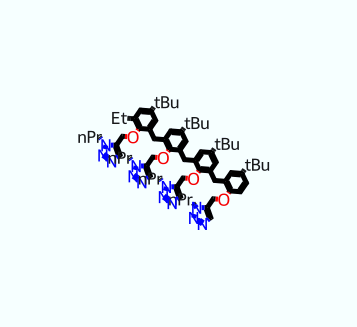 CCCn1nncc1COc1ccc(C(C)(C)C)cc1Cc1cc(C(C)(C)C)cc(Cc2cc(C(C)(C)C)cc(Cc3cc(C(C)(C)C)cc(CC)c3OCc3cnnn3CCC)c2OCc2cnnn2CCC)c1OCc1cnnn1CCC